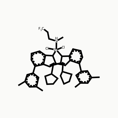 Cc1cc(C)cc(-c2cccc3c2C=C(CC2CCCC2)[CH]3[Zr]([Cl])([Cl])([CH]2C(CC3CCCC3)=Cc3c(-c4cc(C)cc(C)c4)cccc32)[SiH](C)CCC(F)(F)F)c1